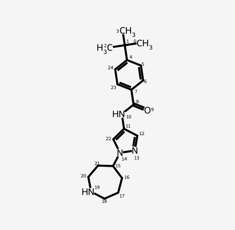 CC(C)(C)c1ccc(C(=O)Nc2cnn(C3CCCNCC3)c2)cc1